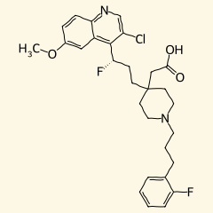 COc1ccc2ncc(Cl)c([C@@H](F)CCC3(CC(=O)O)CCN(CCCc4ccccc4F)CC3)c2c1